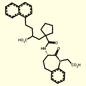 O=C(O)CN1C(=O)[C@@H](NC(=O)C2(CC(CCc3cccc4ccccc34)C(=O)O)CCCC2)CCc2ccccc21